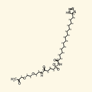 CC(=O)COCCOCCNC(=O)CCCS(=O)(=O)NC(=O)CCCCCCCCCCCCCCCc1nnn[nH]1